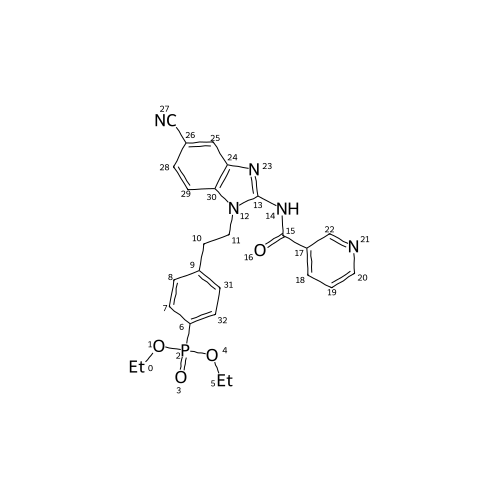 CCOP(=O)(OCC)c1ccc(CCn2c(NC(=O)c3cccnc3)nc3cc(C#N)ccc32)cc1